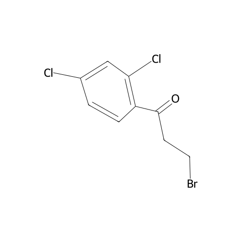 O=C(CCBr)c1ccc(Cl)cc1Cl